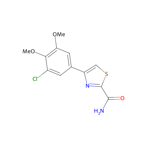 COc1cc(-c2csc(C(N)=O)n2)cc(Cl)c1OC